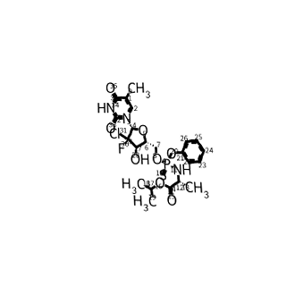 Cc1cn([C@@H]2O[C@H](CO[P@](=S)(N[C@H](C)C(=O)OC(C)C)Oc3ccccc3)[C@@H](O)[C@]2(F)Cl)c(=O)[nH]c1=O